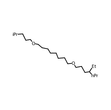 CCCC(CC)CCCOCCCCCCCCOCCCC(C)C